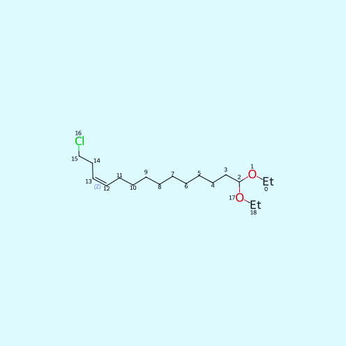 CCOC(CCCCCCCCC/C=C\CCCl)OCC